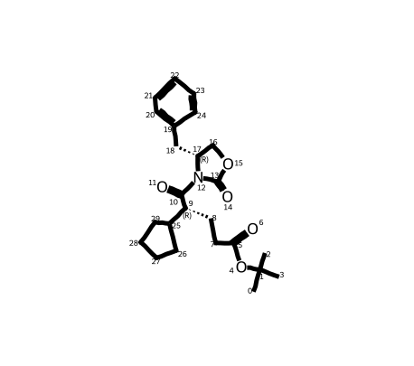 CC(C)(C)OC(=O)CC[C@@H](C(=O)N1C(=O)OC[C@H]1Cc1ccccc1)C1CCCC1